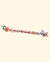 Cc1ccc(S(=O)(=O)OCCOCCOCCOCCOCCOCCOCCOCCOCCCCNC(=O)OC(C)(C)C)cc1